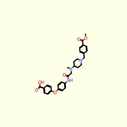 COC(=O)c1ccc(CN2CCC(N(C)CC(=O)Nc3ccc(Oc4ccc(C(=O)O)cc4)cc3)CC2)cc1